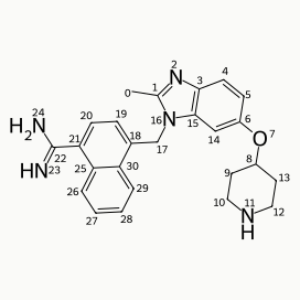 Cc1nc2ccc(OC3CCNCC3)cc2n1Cc1ccc(C(=N)N)c2ccccc12